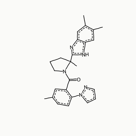 Cc1ccc(-n2cccn2)c(C(=O)N2CCCC2(C)c2nc3cc(C)c(C)cc3[nH]2)c1